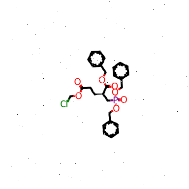 O=C(CC[C@H](CP(=O)(OCc1ccccc1)OCc1ccccc1)C(=O)OCc1ccccc1)OCCl